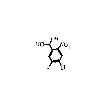 O=[N+]([O-])c1cc(Cl)c(F)cc1C(O)O